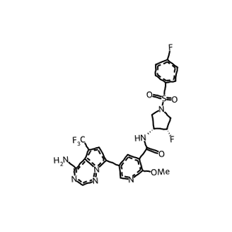 COc1ncc(-c2cc(C(F)(F)F)c3c(N)ncnn23)cc1C(=O)N[C@@H]1CN(S(=O)(=O)c2ccc(F)cc2)C[C@@H]1F